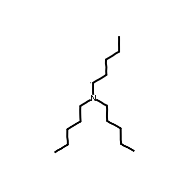 CCCC[CH]N(CCCCC)CCCCC